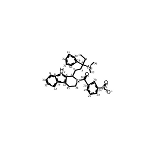 CCC(CCC1c2[nH]c3ccccc3c2CCN1C(=O)c1cccc([N+](=O)[O-])c1)(c1ccccc1)N(C)C